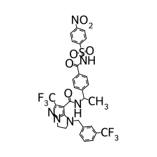 CC(NC(=O)c1c(C(F)(F)F)nn2c1N(Cc1cccc(C(F)(F)F)c1)CC2)c1ccc(C(=O)NS(=O)(=O)c2ccc([N+](=O)[O-])cc2)cc1